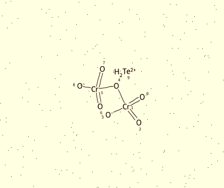 [O]=[Cr](=[O])([O-])[O][Cr](=[O])(=[O])[O-].[TeH2+2]